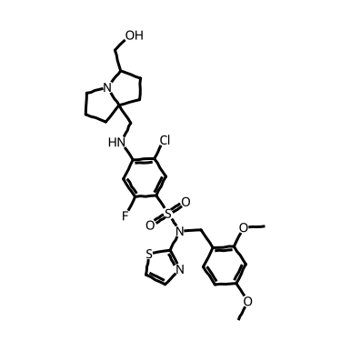 COc1ccc(CN(c2nccs2)S(=O)(=O)c2cc(Cl)c(NCC34CCCN3C(CO)CC4)cc2F)c(OC)c1